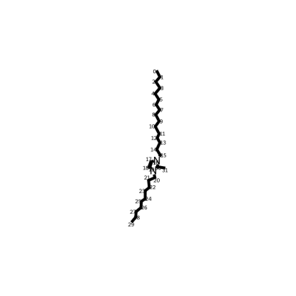 CCCCCCCCCCCCCCCCN1C=CN(CCCCCCCCCC)C1C